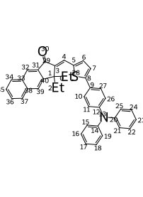 CCC1(CC)/C(=C\c2ccc(-c3ccc(N(c4ccccc4)c4ccccc4)cc3)s2)C(=O)c2cc3ccccc3cc21